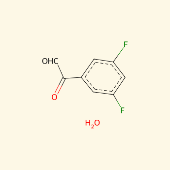 O.O=CC(=O)c1cc(F)cc(F)c1